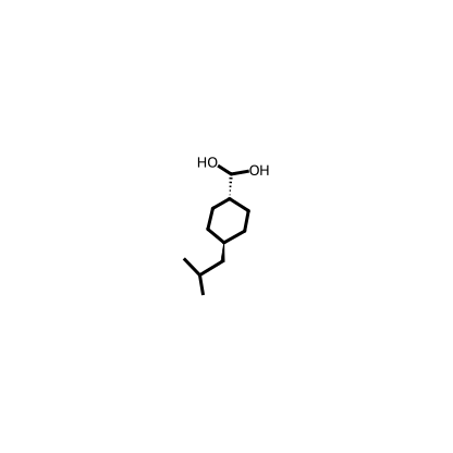 CC(C)C[C@H]1CC[C@H](C(O)O)CC1